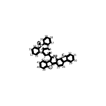 C=C(/C=C\C(=C/C)P(=O)(c1ccccc1)c1ccccc1)c1nc2c(ccc3c4ccccc4sc32)c2oc3ccccc3c12